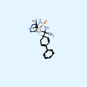 CC1(NS(=O)(=O)NC(C)(C)C2(F)C=CC(c3ccccc3)=CC2)CN2CCC1CC2